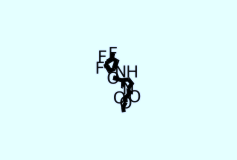 CCOC(=O)C(=O)N1CC[C@H](C(=O)Nc2cc(F)c(F)c(F)c2)C1